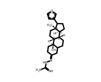 C[C@]12CCC(=NNC(=N)N)CC1CC[C@@H]1[C@H]2CC[C@]2(C)C(c3ccoc3)CC[C@@H]12